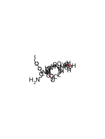 CCCCc1ccc(-c2ccc(C(=O)N[C@@H](CCCCN)C(=O)N(C)[C@@H]3C(=O)N[C@@H](C)C(=O)N[C@H](C(=O)N[C@@H](C)B4O[C@@H]5C[C@@H]6C[C@@H](C6(C)C)[C@]5(C)O4)COCCCCc4cc3ccc4OC)cc2)cc1